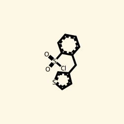 O=S(=O)(Cl)c1ccccc1Cc1ccsc1